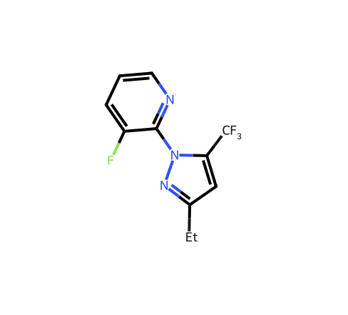 CCc1cc(C(F)(F)F)n(-c2ncccc2F)n1